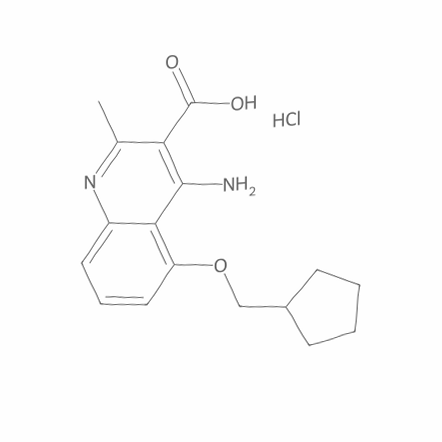 Cc1nc2cccc(OCC3CCCC3)c2c(N)c1C(=O)O.Cl